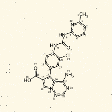 Cc1cccc(NC(=O)Nc2ccc(-c3c(C(=O)O)cn4ncnc(N)c34)cc2Cl)n1